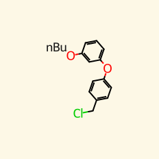 CCCCOc1cccc(Oc2ccc(CCl)cc2)c1